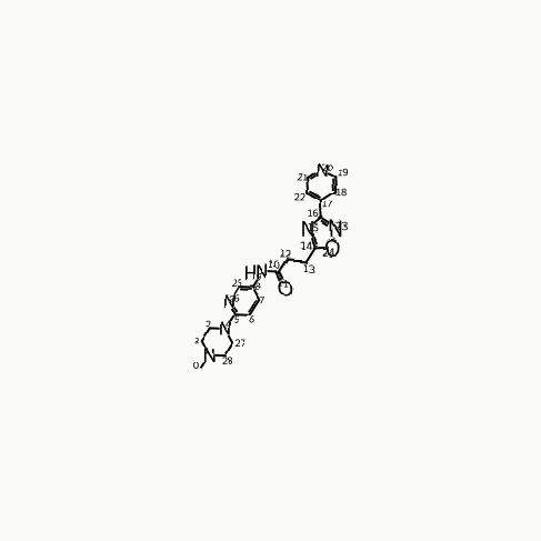 CN1CCN(c2ccc(NC(=O)CCc3nc(-c4ccncc4)no3)cn2)CC1